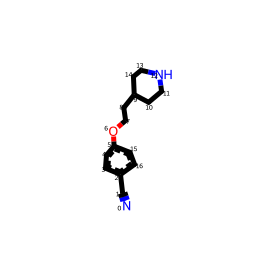 N#Cc1ccc(OCCC2CCNCC2)cc1